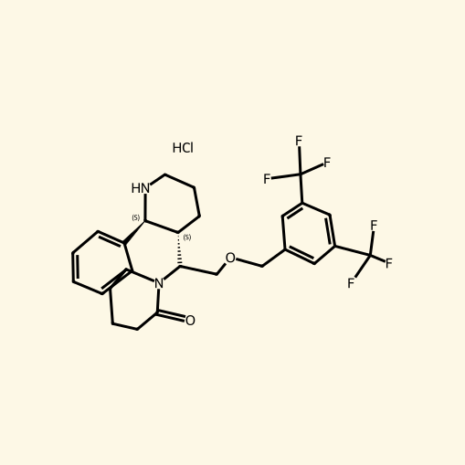 Cl.O=C1CCCCN1C(COCc1cc(C(F)(F)F)cc(C(F)(F)F)c1)[C@H]1CCCN[C@@H]1c1ccccc1